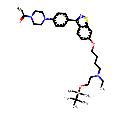 CCN(CCCCOc1ccc2c(-c3ccc(N4CCN(C(C)=O)CC4)cc3)nsc2c1)CCO[Si](C)(C)C(C)(C)C